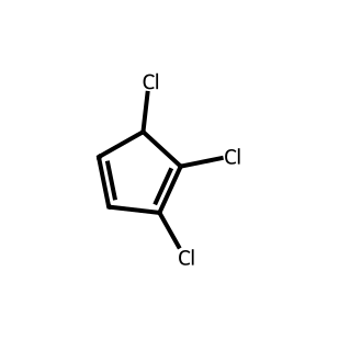 ClC1=C(Cl)C(Cl)C=C1